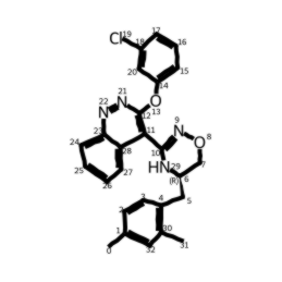 Cc1ccc(C[C@@H]2CON=C(c3c(Oc4cccc(Cl)c4)nnc4ccccc34)N2)c(C)c1